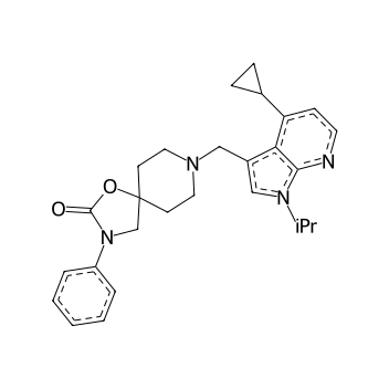 CC(C)n1cc(CN2CCC3(CC2)CN(c2ccccc2)C(=O)O3)c2c(C3CC3)ccnc21